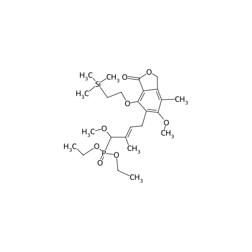 CCOP(=O)(OCC)C(OC)/C(C)=C/Cc1c(OC)c(C)c2c(c1OCC[Si](C)(C)C)C(=O)OC2